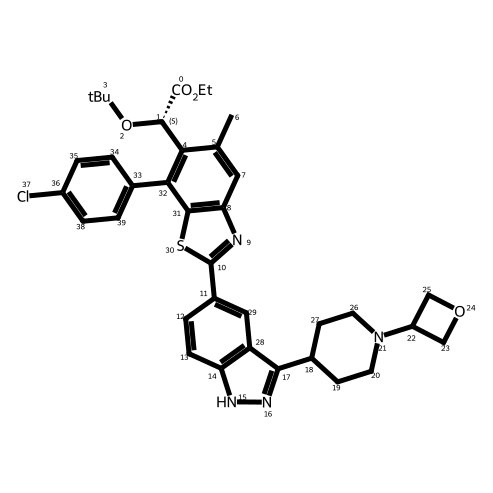 CCOC(=O)[C@@H](OC(C)(C)C)c1c(C)cc2nc(-c3ccc4[nH]nc(C5CCN(C6COC6)CC5)c4c3)sc2c1-c1ccc(Cl)cc1